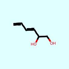 C=CC=CC(O)CO